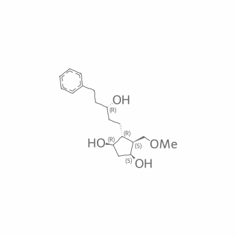 COC[C@@H]1[C@@H](CC[C@@H](O)CCc2ccccc2)[C@H](O)C[C@@H]1O